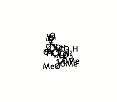 COC(=O)[C@H](CC(OC)OC)[C@]1(C)CC[C@H]2C(=O)O[C@H](c3ccoc3)C[C@]2(C)[C@H]1C(=O)O